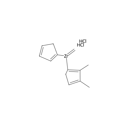 Cl.Cl.[CH2]=[Zr]([C]1=CC=CC1)[C]1=C(C)C(C)=CC1